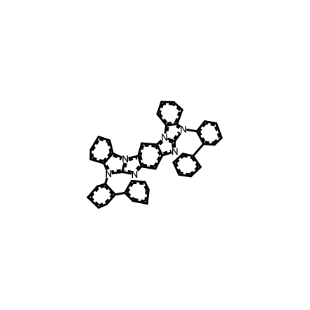 c1ccc(-c2ccccc2-n2c3ccccc3n3c4cc5c(cc4nc23)nc2n(-c3ccccc3-c3ccccc3)c3ccccc3n52)cc1